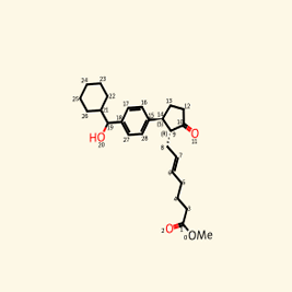 COC(=O)CCCC=CC[C@H]1C(=O)CC[C@@H]1c1ccc(C(O)C2CCCCC2)cc1